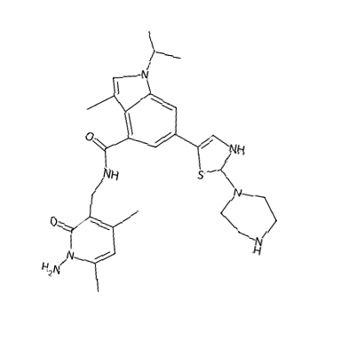 Cc1cc(C)n(N)c(=O)c1CNC(=O)c1cc(C2=CNC(N3CCNCC3)S2)cc2c1c(C)cn2C(C)C